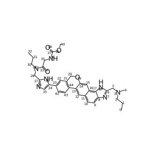 CCCN(C)Cc1nc2ccc3cc4c(cc3c2[nH]1)OCc1cc(-c2cnc(CN(CCC)C(=O)CNC(=O)OC)[nH]2)ccc1-4